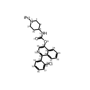 CC(C)N1CCC(NC(=O)Oc2cnc(-c3ccccc3Cl)c3ccccc23)CC1